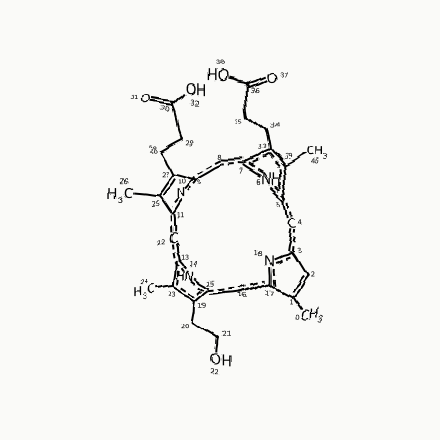 CC1=Cc2cc3[nH]c(cc4nc(cc5[nH]c(cc1n2)c(CCO)c5C)C(C)=C4CCC(=O)O)c(CCC(=O)O)c3C